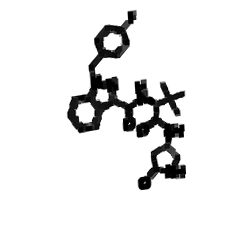 CC(C)(C)[C@H](NC(=O)c1nn(Cc2ccc(F)cc2)c2ccccc12)C(=O)N[C@H]1CNC(=O)C1